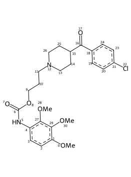 COc1ccc(NC(=O)OCCCN2CCC(C(=O)c3ccc(Cl)cc3)CC2)c(OC)c1OC